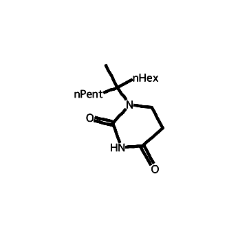 CCCCCCC(C)(CCCCC)N1CCC(=O)NC1=O